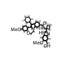 COc1ccc2c(c1)OCCn1c-2c(C2CCCCC2)c2ccc(C(=O)NC3(c4nc5cc(CO)c(OC)cc5[nH]4)CCC3)cc21